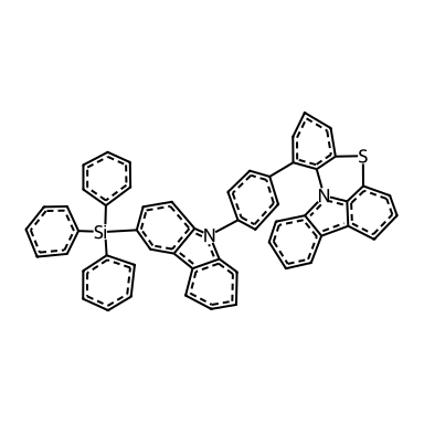 c1ccc([Si](c2ccccc2)(c2ccccc2)c2ccc3c(c2)c2ccccc2n3-c2ccc(-c3cccc4c3-n3c5ccccc5c5cccc(c53)S4)cc2)cc1